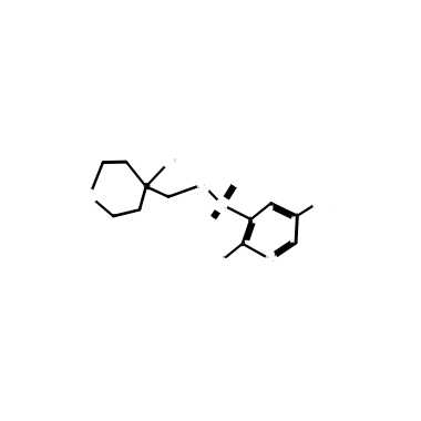 Cc1cnc(Cl)c(S(=O)(=O)NCC2(O)CCOCC2)c1